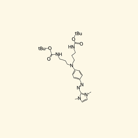 Cn1cc[n+](C)c1/N=N/c1ccc(N(CCCNC(=O)OC(C)(C)C)CCCNC(=O)OC(C)(C)C)cc1